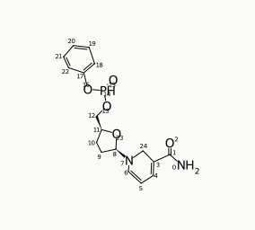 NC(=O)C1=CC=CN([C@H]2CC[C@@H](CO[PH](=O)Oc3ccccc3)O2)C1